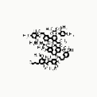 COc1cc(CC(COC(c2ccc(OC(C)Cc3cc(Oc4ccc(C)cc4OC)c(OC(C)C=O)c(-c4cc(CC(C)Oc5ccc(C)cc5OC)cc(OC)c4O)c3)c(C=O)c2)C(C)c2ccc(O)c(OC)c2)Oc2ccc(C3Oc4c(OC)cc(CCC=O)cc4C3C)cc2OC)ccc1O